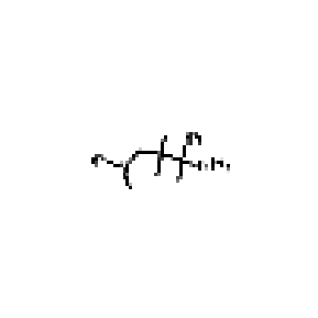 CC(C)N(C)CC(C)(C)C(C)(N)C(C)C